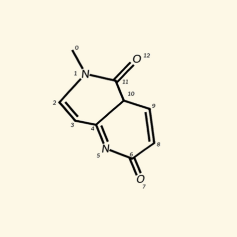 CN1C=CC2=NC(=O)C=CC2C1=O